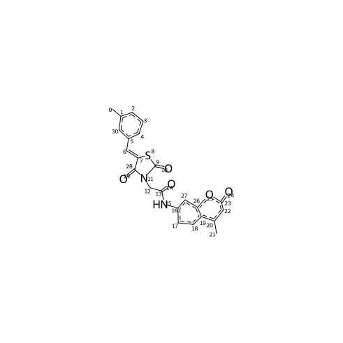 Cc1cccc(/C=C2\SC(=O)N(CC(=O)Nc3ccc4c(C)cc(=O)oc4c3)C2=O)c1